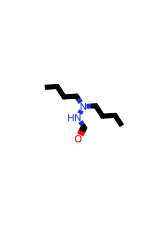 CCCCN(CCCC)NC=O